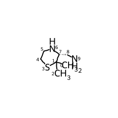 CC1(C)SCCN[C@@H]1CN